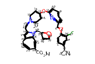 N#Cc1ccc(OCc2cccc(OC3CCN(Cc4cc5ccc(C(=O)O)cc5n4C[C@@H]4CCO4)CC3)n2)c(F)c1